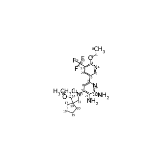 CCOc1ncc(-c2cc(N(C)CC3(COC)CCCC3)c(N)c(N)n2)cc1C(F)(F)F